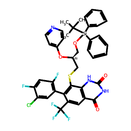 CC(C)(C)[Si](OC[C@@H](CSc1c(-c2cc(Cl)c(F)cc2F)c(C(F)(F)F)cc2c(=O)[nH]c(=O)[nH]c12)Oc1ccncc1)(c1ccccc1)c1ccccc1